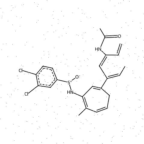 C=C/C(=C\C(=C/C)C1=CC(N[S+]([O-])c2ccc(Cl)c(Cl)c2)=C(C)C=CC1)NC(C)=O